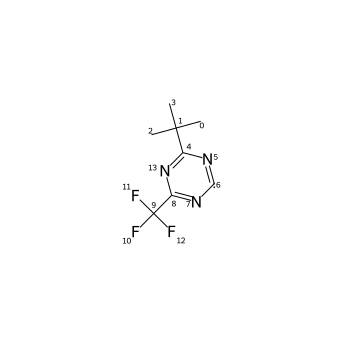 CC(C)(C)c1n[c]nc(C(F)(F)F)n1